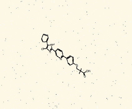 CC(C)(COc1ccc(-c2ccc(-c3nc(Cl)c(-c4ccccc4)[nH]3)cn2)cc1)C(=O)O